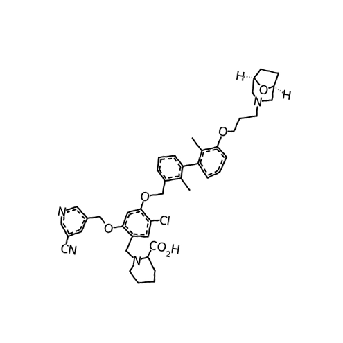 Cc1c(COc2cc(OCc3cncc(C#N)c3)c(CN3CCCCC3C(=O)O)cc2Cl)cccc1-c1cccc(OCCCN2C[C@H]3CC[C@@H](C2)O3)c1C